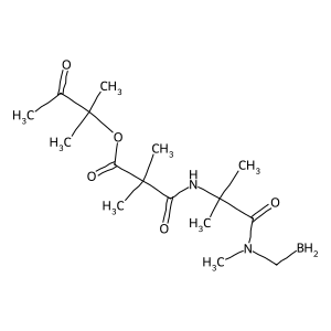 BCN(C)C(=O)C(C)(C)NC(=O)C(C)(C)C(=O)OC(C)(C)C(C)=O